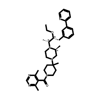 CCO[C@H](Cc1cccc(-c2ccccn2)c1)[C@@H](C)N1CCN(C2(C)CCN(C(=O)c3c(C)ncnc3C)CC2)C[C@@H]1C